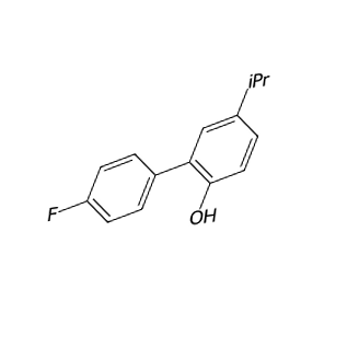 CC(C)c1ccc(O)c(-c2ccc(F)cc2)c1